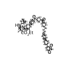 CCOC(=O)c1c(C)nc(Nc2cnn(C)c2)nc1NC1CCC(N2CCN(C(=O)C3CCC(C(=O)N4CCC(CCCCN5CCN(c6ccc(C7CCC(=O)N(C)C7=O)cc6)CC5)CC4)CC3)CC2)CC1